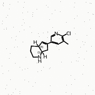 Cc1cc(C2=C[C@H]3CCCN[C@H]3C2)cnc1Cl